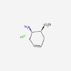 CCOC(=O)[C@H]1CC=CC[C@H]1N.Cl